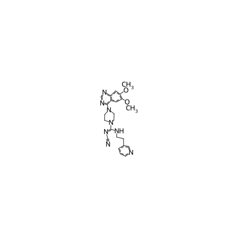 COc1cc2ncnc(N3CCN(/C(=N/C#N)NCCc4cccnc4)CC3)c2cc1OC